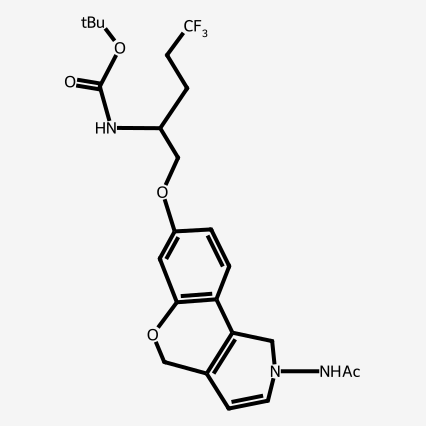 CC(=O)NN1C=CC2=C(C1)c1ccc(OCC(CCC(F)(F)F)NC(=O)OC(C)(C)C)cc1OC2